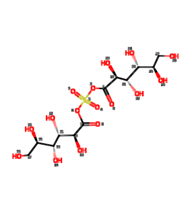 O=C(OS(=O)(=O)OC(=O)[C@@H](O)[C@@H](O)[C@H](O)[C@H](O)CO)[C@@H](O)[C@@H](O)[C@H](O)[C@H](O)CO